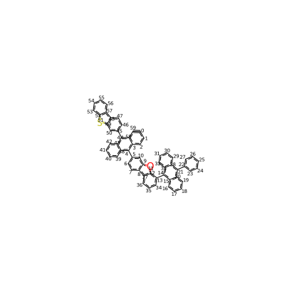 c1ccc2c(-c3ccc4c(c3)oc3c(-c5c6ccccc6c(-c6ccccc6)c6ccccc56)cccc34)c3ccccc3c(-c3ccc4c(c3)sc3ccccc34)c2c#1